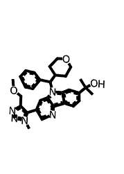 COCc1nnn(C)c1-c1cnc2c3ccc(C(C)(C)O)cc3n(C(c3ccccc3)C3CCOCC3)c2c1